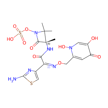 CC1(C)N(OS(=O)(=O)O)C(=O)[C@@]1(C)NC(=O)/C(=N\OCc1cc(=O)c(O)cn1O)c1csc(N)n1